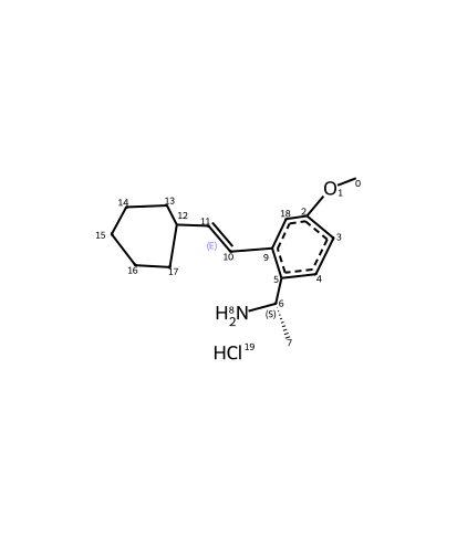 COc1ccc([C@H](C)N)c(/C=C/C2CCCCC2)c1.Cl